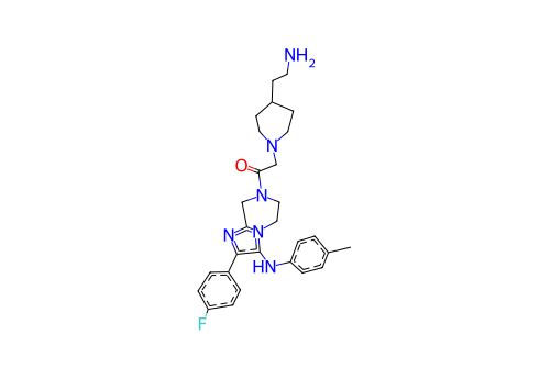 Cc1ccc(Nc2c(-c3ccc(F)cc3)nc3n2CCN(C(=O)CN2CCC(CCN)CC2)C3)cc1